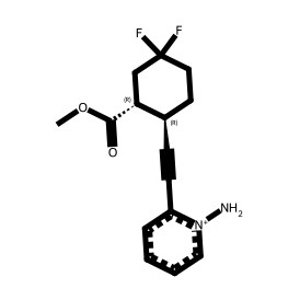 COC(=O)[C@@H]1CC(F)(F)CC[C@H]1C#Cc1cccc[n+]1N